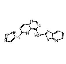 c1cnc2sc(Nc3ncnc4ccc(Sc5cnn[nH]5)nc34)nc2c1